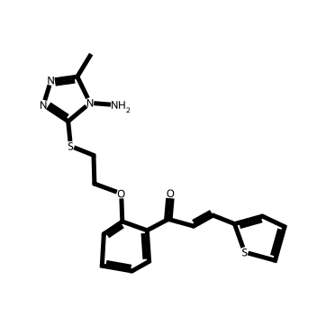 Cc1nnc(SCCOc2ccccc2C(=O)C=Cc2cccs2)n1N